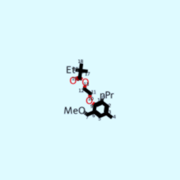 CCCc1cc(C)cc(COC)c1OCCOC(=O)C(C)(C)CC